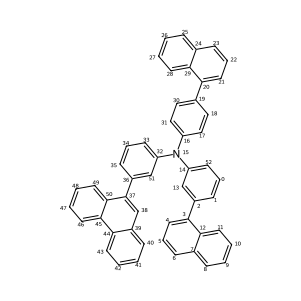 c1cc(-c2cccc3ccccc23)cc(N(c2ccc(-c3cccc4ccccc34)cc2)c2cccc(-c3cc4ccccc4c4ccccc34)c2)c1